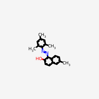 Cc1cc(C)c(/N=N/c2c(O)ccc3cc(C)ccc23)c(C)c1